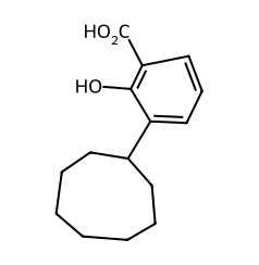 O=C(O)c1cccc(C2CCCCCCC2)c1O